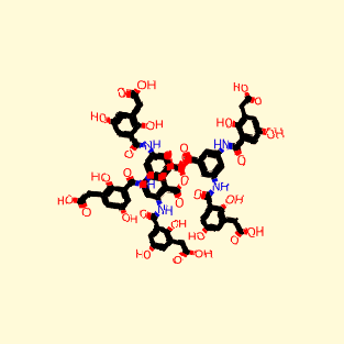 O=C(O)Cc1cc(O)cc(C(=O)Nc2cc(NC(=O)c3cc(O)cc(CC(=O)O)c3O)cc(C(=O)OC(=O)c3cccc(NC(=O)c4cc(O)cc(CC(=O)O)c4O)c3C(=O)OC(=O)c3cc(NC(=O)c4cc(O)cc(CC(=O)O)c4O)cc(NC(=O)c4cc(O)cc(CC(=O)O)c4O)c3)c2)c1O